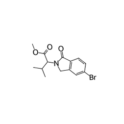 COC(=O)C(C(C)C)N1Cc2cc(Br)ccc2C1=O